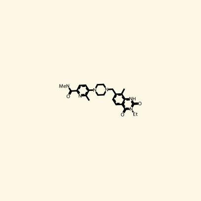 CCn1c(=O)[nH]c2c(C)c(CN3CCN(c4ccc(C(=O)NC)nc4C)CC3)ccc2c1=O